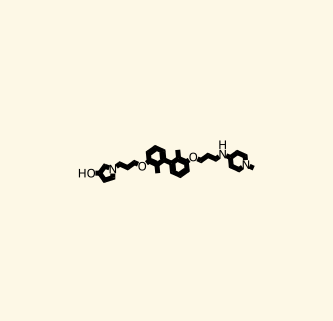 Cc1c(OCCCNC2CCN(C)CC2)cccc1-c1cccc(OCCCN2CCC(O)C2)c1C